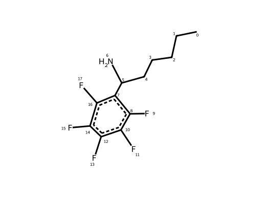 CCCCCC(N)c1c(F)c(F)c(F)c(F)c1F